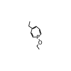 CCOP1C=CC=C(CC)C=C1